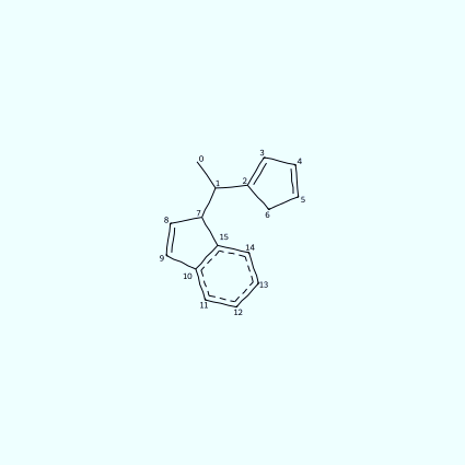 CC(C1=CC=CC1)C1C=Cc2ccccc21